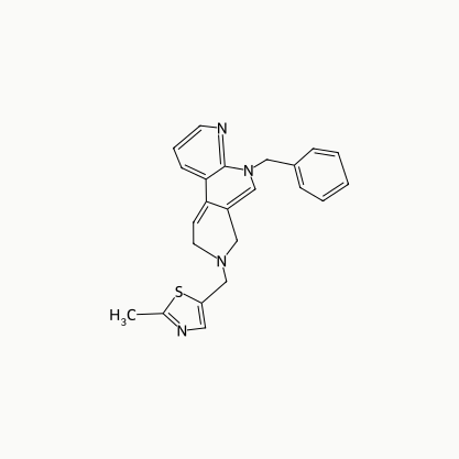 Cc1ncc(CN2CC=C3C(=CN(Cc4ccccc4)c4ncccc43)C2)s1